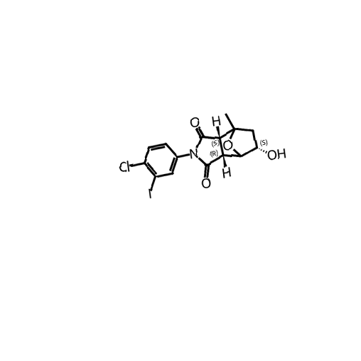 CC12C[C@H](O)C(O1)[C@@H]1C(=O)N(c3ccc(Cl)c(I)c3)C(=O)[C@@H]12